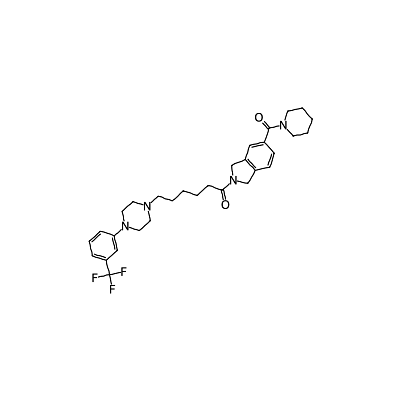 O=C(CCCCCN1CCN(c2cccc(C(F)(F)F)c2)CC1)N1Cc2ccc(C(=O)N3CCCCC3)cc2C1